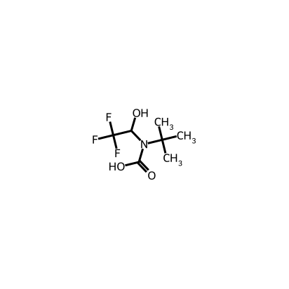 CC(C)(C)N(C(=O)O)C(O)C(F)(F)F